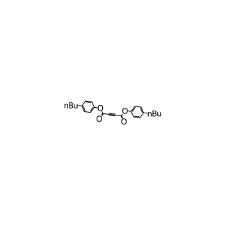 CCCCc1ccc(OC(=O)C#CC(=O)Oc2ccc(CCCC)cc2)cc1